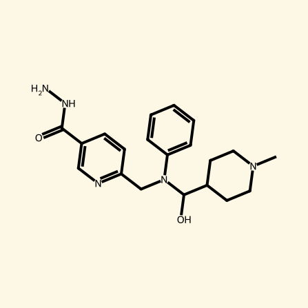 CN1CCC(C(O)N(Cc2ccc(C(=O)NN)cn2)c2ccccc2)CC1